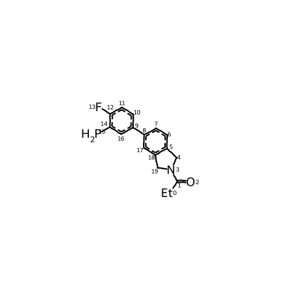 CCC(=O)N1Cc2ccc(-c3ccc(F)c(P)c3)cc2C1